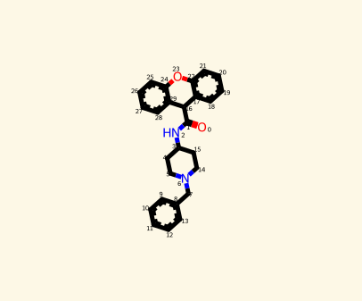 O=C(NC1CCN(Cc2ccccc2)CC1)C1c2ccccc2Oc2ccccc21